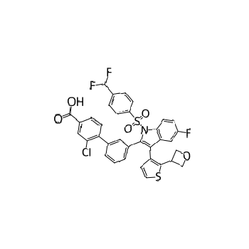 O=C(O)c1ccc(-c2cccc(-c3c(-c4ccsc4C4COC4)c4cc(F)ccc4n3S(=O)(=O)c3ccc(C(F)F)cc3)c2)c(Cl)c1